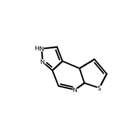 C1=CC2c3c[nH]nc3C=NC2S1